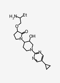 CCC(N)COC1CCN(C2CCN(c3ncc(C4CC4)cn3)CC2O)C1=O